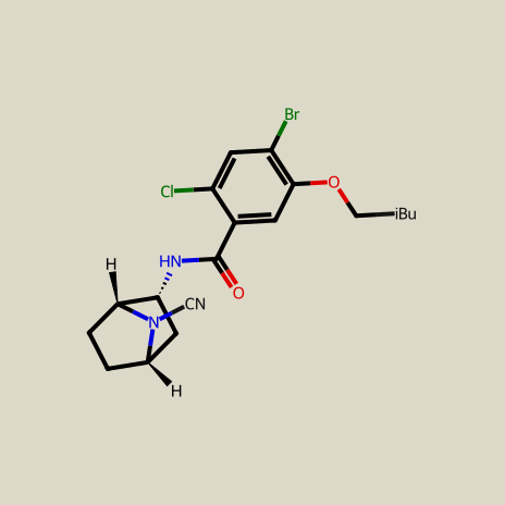 CCC(C)COc1cc(C(=O)N[C@@H]2C[C@@H]3CC[C@H]2N3C#N)c(Cl)cc1Br